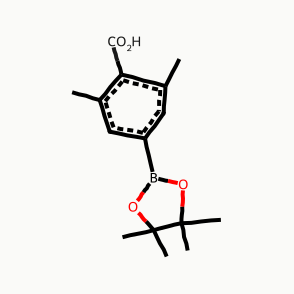 Cc1cc(B2OC(C)(C)C(C)(C)O2)cc(C)c1C(=O)O